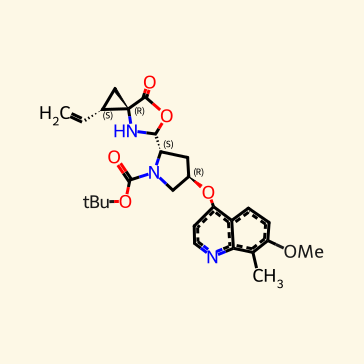 C=C[C@@H]1C[C@@]12NC([C@@H]1C[C@@H](Oc3ccnc4c(C)c(OC)ccc34)CN1C(=O)OC(C)(C)C)OC2=O